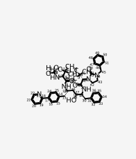 CC(C)(C)[C@H](NC(=O)O)C(=O)N[C@@H](Cc1ccc(-c2ccccn2)cc1)C[C@H](O)[C@H](Cc1ccccc1)NC(=O)[C@@H](N1CCN(Cc2ccccc2)C1=O)C(C)(C)C